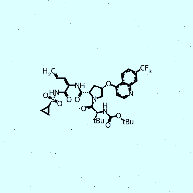 C=C/C=C(/NC(=O)[C@@H]1C[C@@H](Oc2ccnc3cc(C(F)(F)F)ccc23)CN1C(=O)[C@@H](NC(=O)OC(C)(C)C)C(C)(C)C)C(=O)NS(=O)(=O)C1CC1